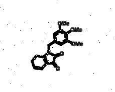 COc1cc(CN2C(=O)C(=O)C3=C2CCC=C3)cc(OC)c1OC